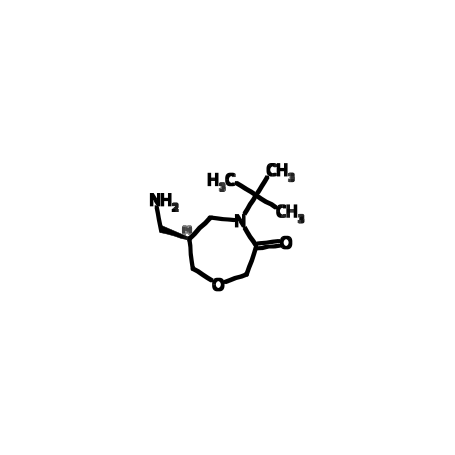 CC(C)(C)N1C[C@H](CN)COCC1=O